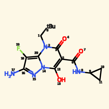 CC(C)(C)Cn1c(=O)c(C(=O)NC2CC2)c(O)n2nc(N)c(F)c12